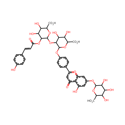 O=C(C=Cc1ccc(O)cc1)OC1C(OC2C(Oc3ccc(-c4cc(=O)c5c(O)cc(OC6OC(C(=O)O)C(O)C(O)C6O)cc5o4)cc3)OC(C(=O)O)C(O)C2O)OC(C(=O)O)C(O)C1O